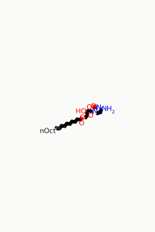 CCCCCCCC/C=C/CCCCCCCC(=O)OCC1OC(n2ccc(N)nc2=O)C(O)C1O